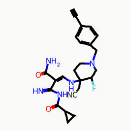 C#Cc1ccc(CN2CCC(CC#N)(N/C=C(\C(=N)NC(=O)C3CC3)C(N)=O)C(F)C2)cc1